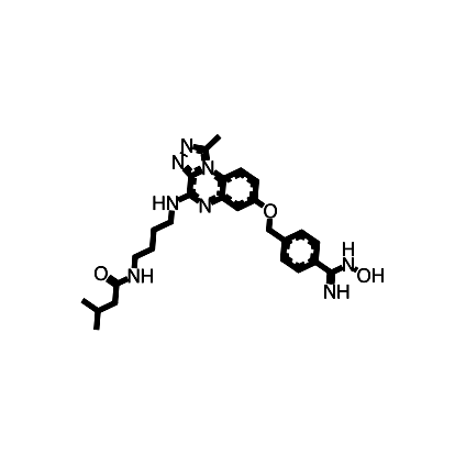 Cc1nnc2c(NCCCCNC(=O)CC(C)C)nc3cc(OCc4ccc(C(=N)NO)cc4)ccc3n12